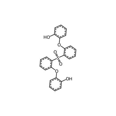 O=S(=O)(c1ccccc1Oc1ccccc1O)c1ccccc1Oc1ccccc1O